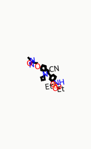 CCOP(=O)(Nc1ccc(-c2c(C#N)c3ccc(OCc4noc(C)n4)cc3n2C2CCC2)cc1)OCC